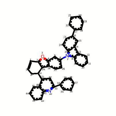 C1=Cc2oc3cc(-n4c5ccccc5c5cc(-c6ccccc6)ccc54)ccc3c2C(c2cc(-c3ccccc3)nc3ccccc23)C1